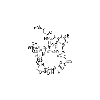 CCCC/C=C/C(=O)N[C@@H](Cc1cc(F)cc(F)c1)C(=O)N[C@@H]1C(=O)N2C[C@H](OP(=O)(O)O)C[C@H]2C(=O)N2CCOC[C@H]2C(=O)N[C@@H](C)C(=O)N2C[C@H](C)CC2C(=O)O[C@H]1C